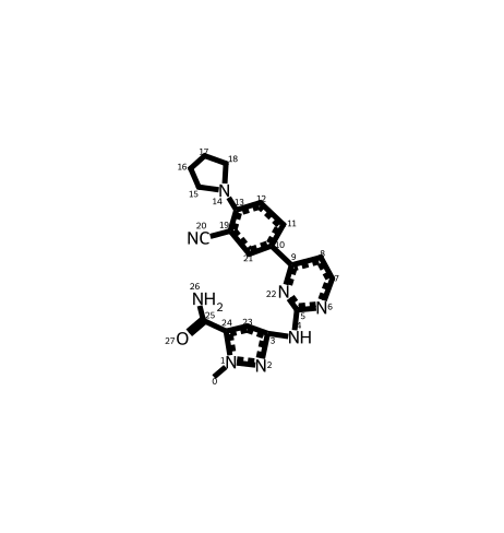 Cn1nc(Nc2nccc(-c3ccc(N4CCCC4)c(C#N)c3)n2)cc1C(N)=O